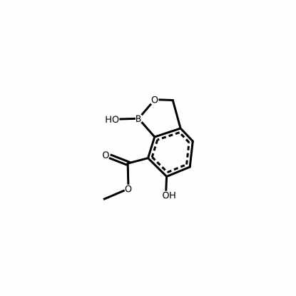 COC(=O)c1c(O)ccc2c1B(O)OC2